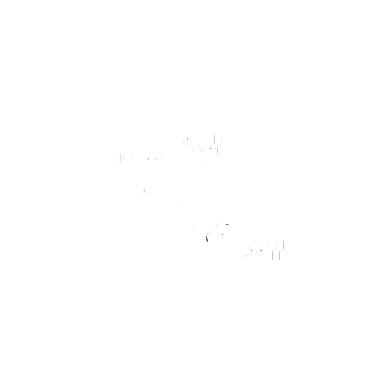 C1CCCCC1.CC(C)(C)CC1(CC(O)CO)CCCCC1.O=C(O)C1(C(=O)O)CCCCCCCCC1.O=C(O)C1(C(=O)O)CCCCCCCCC1.O=C(O)C1(C(=O)O)CCCCCCCCC1